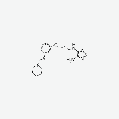 Nc1nsnc1NCCCOc1cccc(SCN2CCCCC2)c1